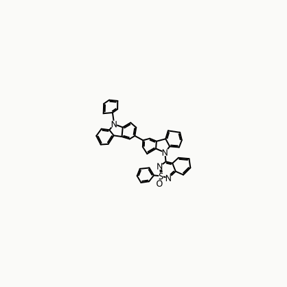 O=S1(c2ccccc2)=NC(n2c3ccccc3c3cc(-c4ccc5c(c4)c4ccccc4n5-c4ccccc4)ccc32)=c2ccccc2=N1